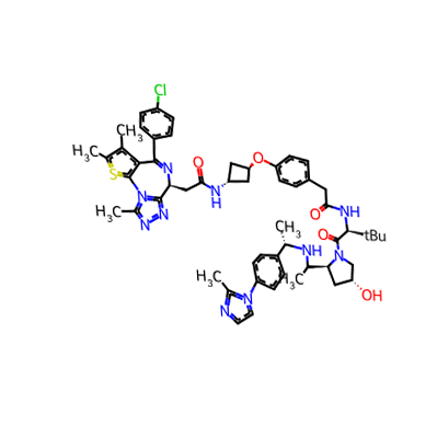 Cc1sc2c(c1C)C(c1ccc(Cl)cc1)=N[C@@H](CC(=O)N[C@H]1C[C@H](Oc3ccc(CC(=O)N[C@H](C(=O)N4C[C@H](O)C[C@H]4C(C)N[C@@H](C)c4ccc(-n5ccnc5C)cc4)C(C)(C)C)cc3)C1)c1nnc(C)n1-2